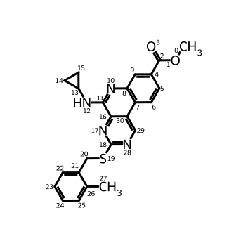 COC(=O)c1ccc2c(c1)nc(NC1CC1)c1nc(SCc3ccccc3C)ncc12